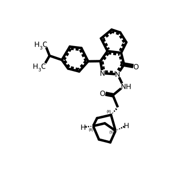 CC(C)c1ccc(-c2nn(NC(=O)C[C@H]3C[C@@H]4CC[C@H]3C4)c(=O)c3ccccc23)cc1